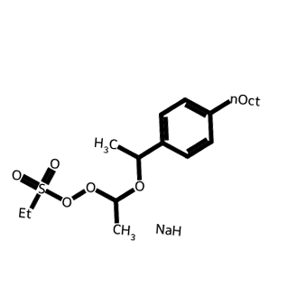 CCCCCCCCc1ccc(C(C)OC(C)OOS(=O)(=O)CC)cc1.[NaH]